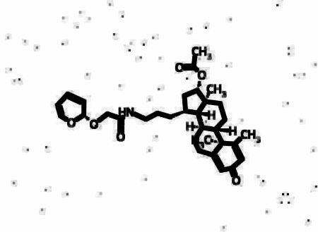 CC(=O)O[C@H]1C[C@H](CCCNC(=O)CO[C@H]2C=CC=CO2)[C@H]2[C@@H]3CCC4=CC(=O)C=C(C)[C@]4(C)[C@H]3CC[C@@]21C